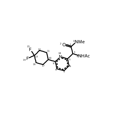 CNC(=O)C(NC(C)=O)c1cccc(C2CCC(F)(F)CC2)n1